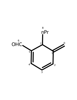 C=C1C=CC=C(C=O)C1CCC